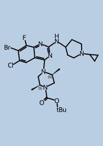 C[C@H]1CN(c2nc(NC3CCN(C4CC4)CC3)nc3c(F)c(Br)c(Cl)cc23)[C@@H](C)CN1C(=O)OC(C)(C)C